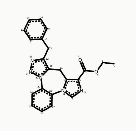 CCOC(=O)c1ncn2c1Cc1c(Cc3ccccc3)nnn1-c1ccccc1-2